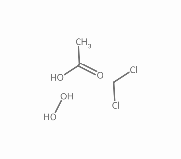 CC(=O)O.ClCCl.OO